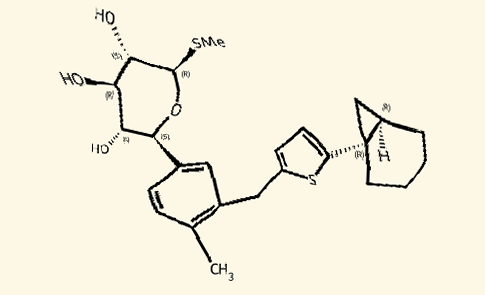 CS[C@H]1O[C@@H](c2ccc(C)c(Cc3ccc([C@@]45CCCC[C@@H]4C5)s3)c2)[C@H](O)[C@@H](O)[C@@H]1O